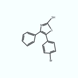 Sc1nc(-c2ccccc2)c(-c2ccc(Br)cc2)s1